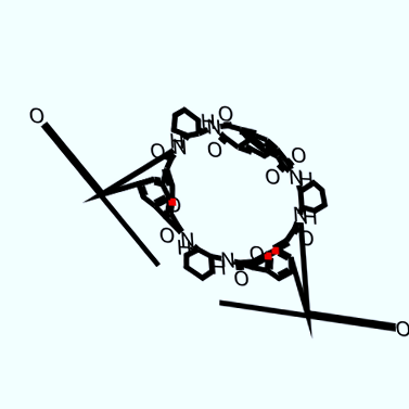 O=C1c2ccc3c4c5ccc(c24)C(=O)N1[C@@H]1CCCC[C@H]1N1C(=O)c2ccc4c6c(ccc(c26)C1=O)C(=O)N(C4=O)[C@@H]1CCCC[C@H]1N1C(=O)c2ccc4c6c(ccc(c26)C1=O)C(=O)N(C4=O)[C@@H]1CCCC[C@H]1N(C3=O)C5=O